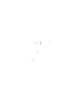 O=C(Cl)C1CCCCC1N1C(=O)c2ccccc2C1=O